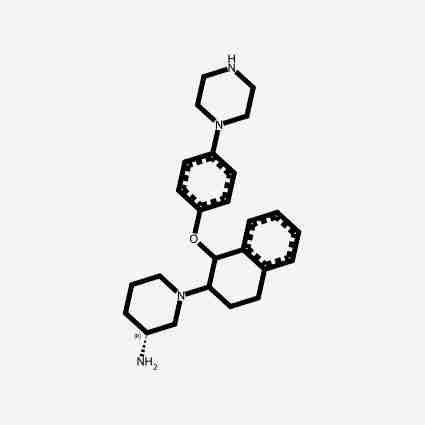 N[C@@H]1CCCN(C2CCc3ccccc3C2Oc2ccc(N3CCNCC3)cc2)C1